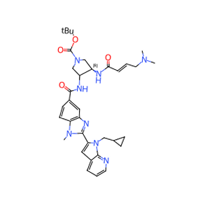 CN(C)CC=CC(=O)N[C@@H]1CN(C(=O)OC(C)(C)C)CC1NC(=O)c1ccc2c(c1)nc(-c1cc3cccnc3n1CC1CC1)n2C